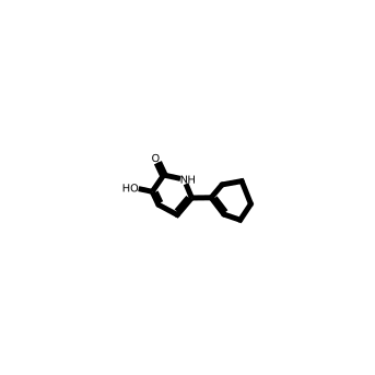 O=c1[nH]c(C2=CCCCC2)ccc1O